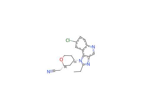 CCc1nc2cnc3ccc(Cl)cc3c2n1[C@H]1CCO[C@@H](CC#N)C1